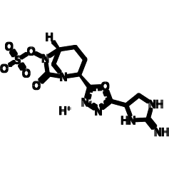 N=C1NCC(c2nnc([C@@H]3CC[C@@H]4CN3C(=O)N4OS(=O)(=O)[O-])o2)N1.[H+]